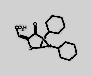 O=C(O)C=C1SC2N(C3CCCCC3)[N+]2(C2CCCCC2)C1=O